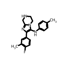 Cc1ccc(Nc2c(-c3ccc(F)c(C)c3)nc3n2CCNC3)cc1